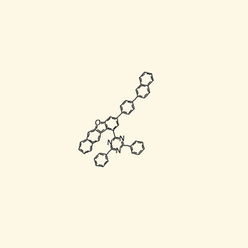 c1ccc(-c2nc(-c3ccccc3)nc(-c3cc(-c4ccc(-c5ccc6ccccc6c5)cc4)cc4oc5cc6ccccc6cc5c34)n2)cc1